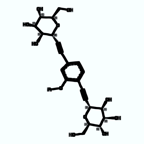 CC(C)Oc1cc(C#C[C@H]2O[C@H](CO)[C@@H](O)[C@H](O)[C@@H]2O)ccc1C#C[C@H]1O[C@H](CO)[C@@H](O)[C@H](O)[C@@H]1O